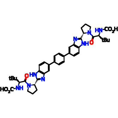 CC(C)(C)[C@H](NC(=O)O)C(=O)N1CCC[C@H]1c1nc2cc(-c3ccc(-c4ccc5[nH]c([C@@H]6CCCN6C(=O)[C@@H](NC(=O)O)C(C)(C)C)nc5c4)cc3)ccc2[nH]1